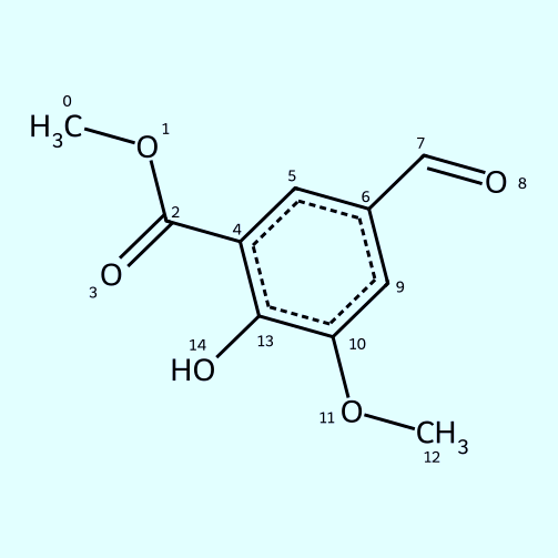 COC(=O)c1cc(C=O)cc(OC)c1O